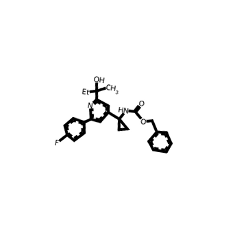 CCC(C)(O)c1cc(C2(NC(=O)OCc3ccccc3)CC2)cc(-c2ccc(F)cc2)n1